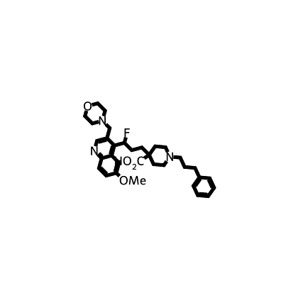 COc1ccc2ncc(CN3CCOCC3)c(C(F)CCC3(C(=O)O)CCN(CCCc4ccccc4)CC3)c2c1